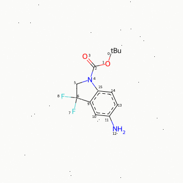 CC(C)(C)OC(=O)N1CC(F)(F)c2cc(N)ccc21